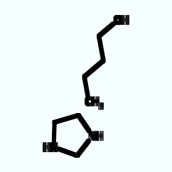 C1CNCN1.CCCCO